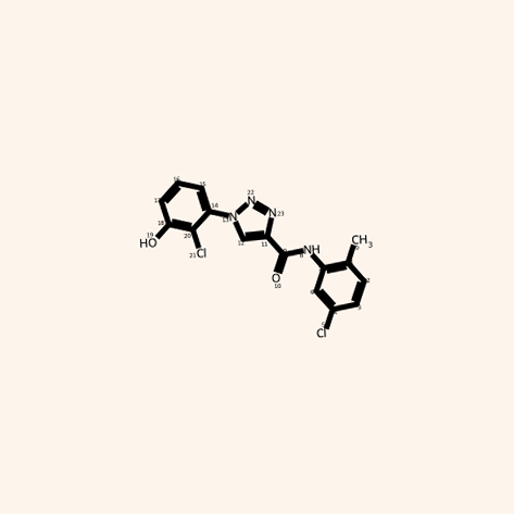 Cc1ccc(Cl)cc1NC(=O)c1cn(-c2cccc(O)c2Cl)nn1